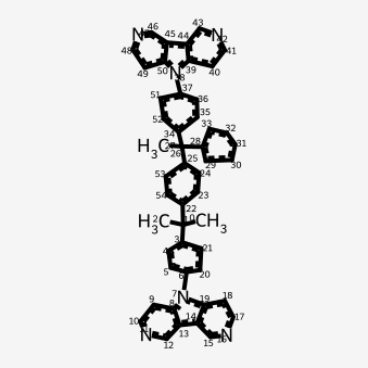 CC(C)(c1ccc(-n2c3ccncc3c3cnccc32)cc1)c1ccc(C(C)(c2ccccc2)c2ccc(-n3c4ccncc4c4cnccc43)cc2)cc1